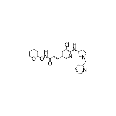 O=C(/C=C/c1cnc(NC2CCN(Cc3ccccn3)C2)c(Cl)c1)NOC1CCCCO1